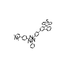 Cc1ccc(-c2ccc(-c3nc(-c4ccccc4)nc(-c4ccc(-c5ccc6c(c5)-c5ccccc5C65c6ccccc6Sc6ccccc65)cc4)n3)cc2)c(C)n1